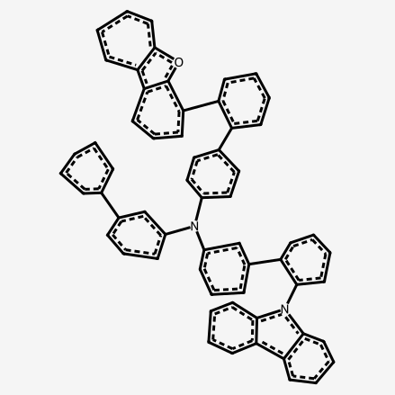 c1ccc(-c2cccc(N(c3ccc(-c4ccccc4-c4cccc5c4oc4ccccc45)cc3)c3cccc(-c4ccccc4-n4c5ccccc5c5ccccc54)c3)c2)cc1